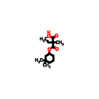 CCC(C)(C(=O)O)C(=O)OC1CCCC(C)(C)C1